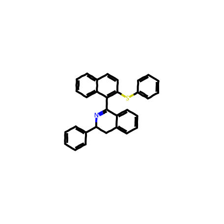 c1ccc(Sc2ccc3ccccc3c2C2=NC(c3ccccc3)Cc3ccccc32)cc1